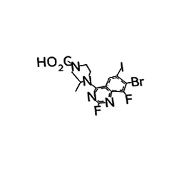 CC1CN(C(=O)O)CCN1c1nc(F)nc2c(F)c(Br)c(I)cc12